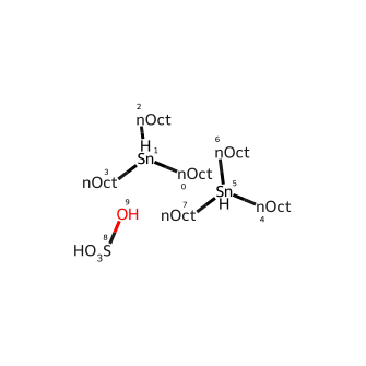 CCCCCCC[CH2][SnH]([CH2]CCCCCCC)[CH2]CCCCCCC.CCCCCCC[CH2][SnH]([CH2]CCCCCCC)[CH2]CCCCCCC.O=S(=O)(O)O